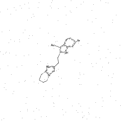 CC(=O)c1c(CCc2cn3c(n2)CCCC3)[nH]c2cc(Br)ccc12